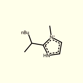 CCCCC(C)c1[nH]cc[n+]1C